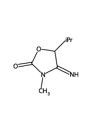 CC(C)C1OC(=O)N(C)C1=N